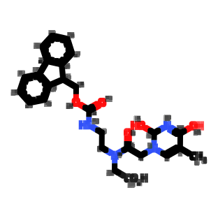 CC1=CN(CC(=O)N(CCNC(=O)OCC2c3ccccc3-c3ccccc32)CC(=O)O)C(O)N=C1O